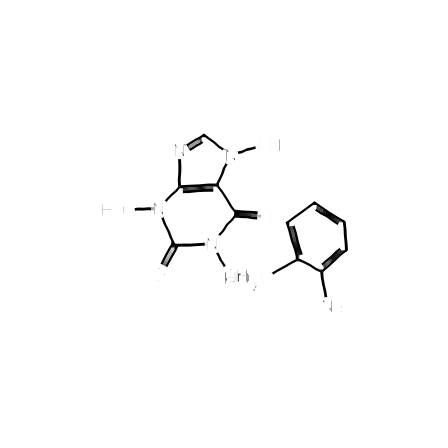 Cn1c(=O)c2c(ncn2C)n(C)c1=O.O=C(O)c1cccc[c]1[Na]